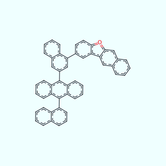 c1ccc2cc3c(cc2c1)oc1ccc(-c2cc(-c4c5ccccc5c(-c5cccc6ccccc56)c5ccccc45)cc4ccccc24)cc13